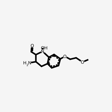 COCCOc1ccc2c(c1)N(O)C(C=O)C(N)C2